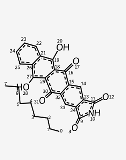 CCCCCCCC.O=c1[nH]c(=O)c2cc3c(=O)c4c(O)c5ccccc5c(O)c4c(=O)c3cc12